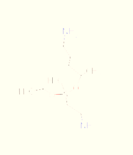 CCO[Si](C)(CCN)OC(C)CCCN